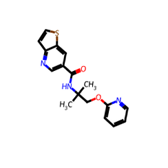 CC(C)(COc1ccccn1)NC(=O)c1cnc2ccsc2c1